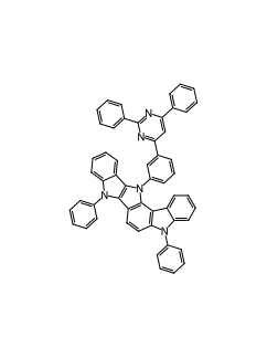 c1ccc(-c2cc(-c3cccc(-n4c5c(ccc6c5c5ccccc5n6-c5ccccc5)c5c4c4ccccc4n5-c4ccccc4)c3)nc(-c3ccccc3)n2)cc1